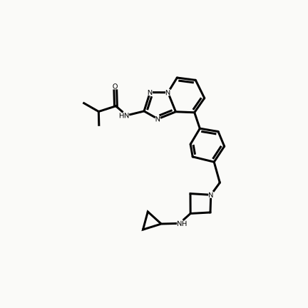 CC(C)C(=O)Nc1nc2c(-c3ccc(CN4CC(NC5CC5)C4)cc3)cccn2n1